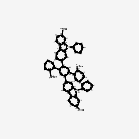 CCCCCCc1ccccc1-c1cc(-c2ccc3c4ccc(C(C)(C)C)cc4n(-c4ccccc4)c3c2)c(-c2ccccc2CCCCCC)cc1-c1ccc2c3ccc(C(C)(C)C)cc3n(-c3ccccc3)c2c1